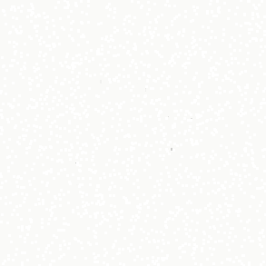 CCC(O)O.O=C(O)CCC(CCC(=O)O)CC(O)O